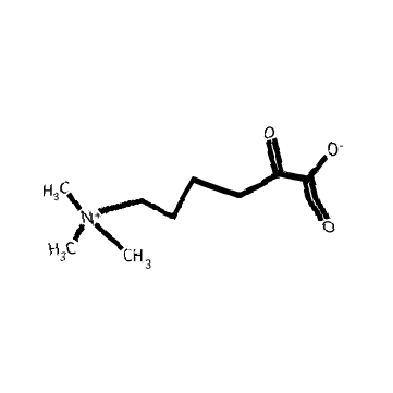 C[N+](C)(C)CCCCC(=O)C(=O)[O-]